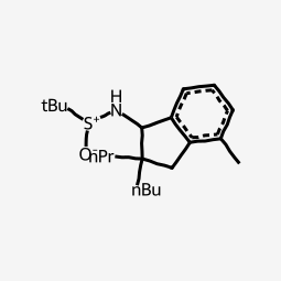 CCCCC1(CCC)Cc2c(C)cccc2C1N[S+]([O-])C(C)(C)C